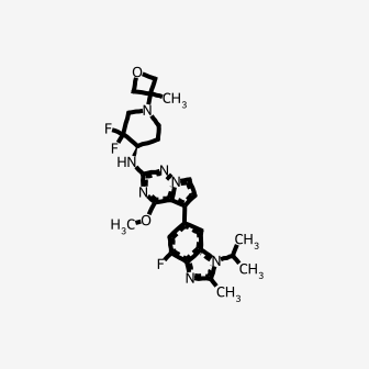 COc1nc(N[C@@H]2CCN(C3(C)COC3)CC2(F)F)nn2ccc(-c3cc(F)c4nc(C)n(C(C)C)c4c3)c12